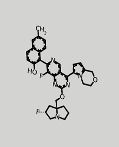 Cc1ccc2c(-c3ncc4c(-c5ccc6n5CCOC6)nc(OC[C@@]56CCCN5C[C@H](F)C6)nc4c3F)c(O)ccc2c1